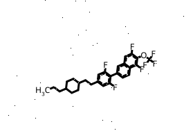 CCCC1CCC(CCc2cc(F)c(-c3ccc4c(F)c(OC(F)(F)F)c(F)cc4c3)c(F)c2)CC1